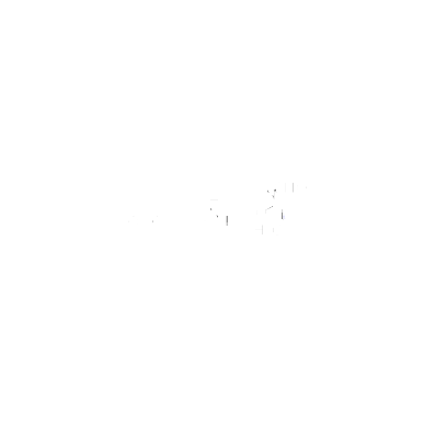 C/C=C\C(=O)N(C=O)CC1CCC(C(=O)NCCCCCC=O)CC1